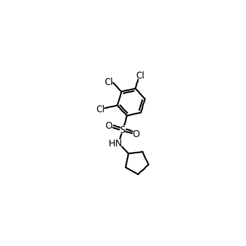 O=S(=O)(NC1CCCC1)c1ccc(Cl)c(Cl)c1Cl